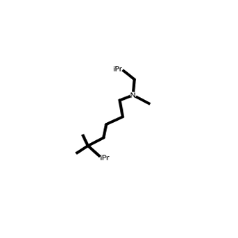 CC(C)CN(C)CCCCC(C)(C)C(C)C